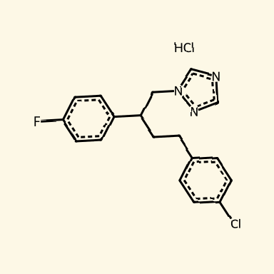 Cl.Fc1ccc(C(CCc2ccc(Cl)cc2)Cn2cncn2)cc1